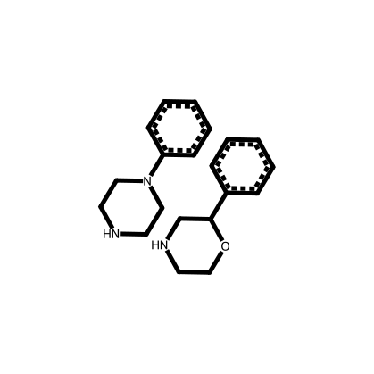 c1ccc(C2CNCCO2)cc1.c1ccc(N2CCNCC2)cc1